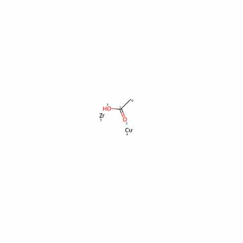 CC(=O)O.[Cu].[Zr]